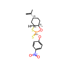 C=C(C)[C@@H]1CC[C@@]2(C)O[P@](=S)(Oc3ccc([N+](=O)[O-])cc3)S[C@@H]2C1